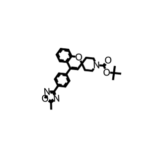 Cc1nc(-c2ccc(C3=CC4(CCN(C(=O)OC(C)(C)C)CC4)Oc4ccccc43)cc2)no1